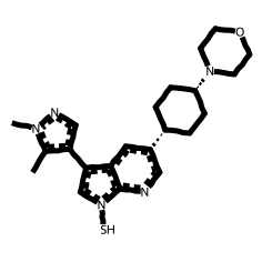 Cc1c(-c2cn(S)c3ncc([C@H]4CC[C@@H](N5CCOCC5)CC4)cc23)cnn1C